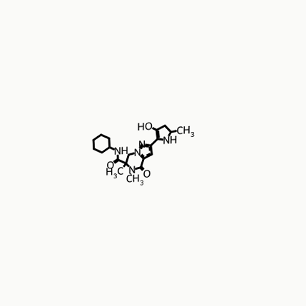 CC1CC(O)=C(c2cc3n(n2)CC(C)(C(=O)NC2CCCCC2)N(C)C3=O)N1